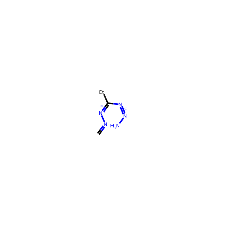 C=N/N=C(CC)\N=N/N